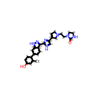 CCc1cc(O)ccc1-c1ccc2c(-c3nc(C4=CCN(CCN5CCNC5=O)C4)c[nH]3)n[nH]c2c1